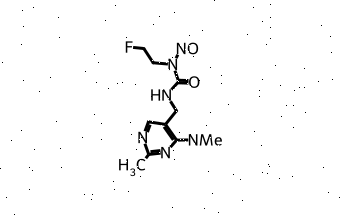 CNc1nc(C)ncc1CNC(=O)N(CCF)N=O